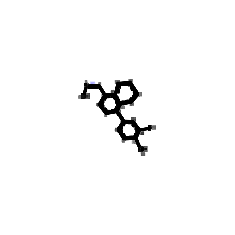 O/N=C\c1ccc(-c2ccc(O)c(F)c2)c2ccccc12